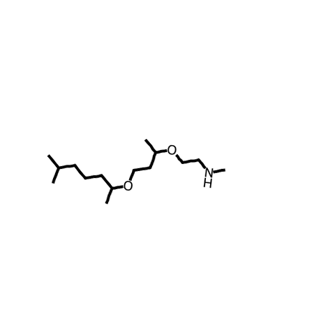 CNCCOC(C)CCOC(C)CCCC(C)C